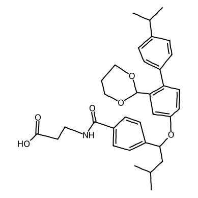 CC(C)CC(Oc1ccc(-c2ccc(C(C)C)cc2)c(C2OCCCO2)c1)c1ccc(C(=O)NCCC(=O)O)cc1